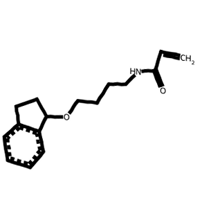 C=CC(=O)NCCCCOC1CCc2ccccc21